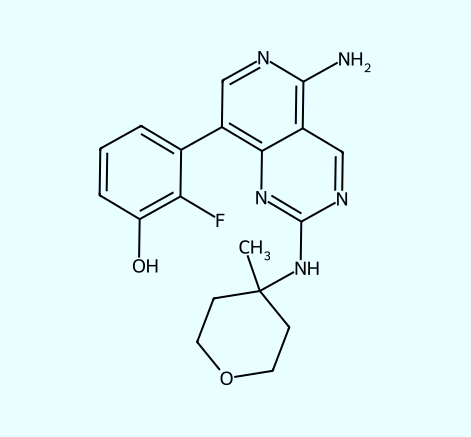 CC1(Nc2ncc3c(N)ncc(-c4cccc(O)c4F)c3n2)CCOCC1